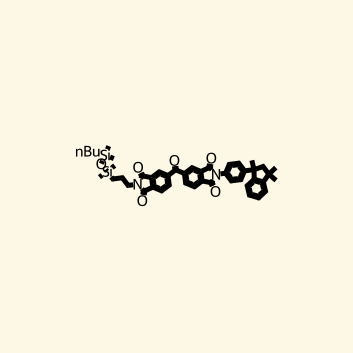 CCCC[Si](C)(C)O[Si](C)(C)CCCN1C(=O)c2ccc(C(=O)c3ccc4c(c3)C(=O)N(c3ccc(C5(C)CC(C)(C)c6ccccc65)cc3)C4=O)cc2C1=O